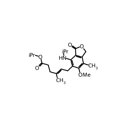 COc1c(C)c2c(c(NC(C)C)c1C/C=C(\C)CCC(=O)OC(C)C)C(=O)OC2